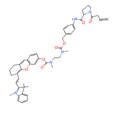 CC(=O)NCC(=O)N1CCCC1C(=O)Nc1ccc(COC(=O)N(C)CCN(C)C(=O)Oc2ccc3c(c2)OC2=C(/C=C/C4=[N+](C)c5ccccc5C4(C)C)CCCC2=C3)cc1